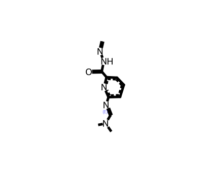 C=NNC(=O)c1cccc(/N=C/N(C)C)n1